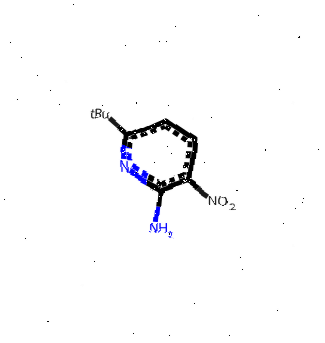 CC(C)(C)c1ccc([N+](=O)[O-])c(N)n1